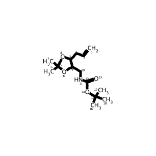 C=CCC1OC(C)(C)OC1CNC(=O)OC(C)(C)C